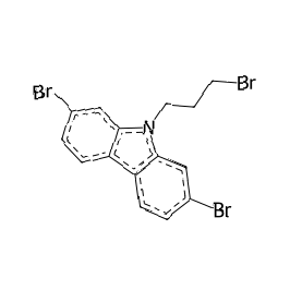 BrCCCn1c2cc(Br)ccc2c2ccc(Br)cc21